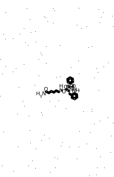 [NH]c1ccccc1C[C@H](NS(=O)(=O)c1ccccc1)C(=O)ONCCCCCC(N)=O